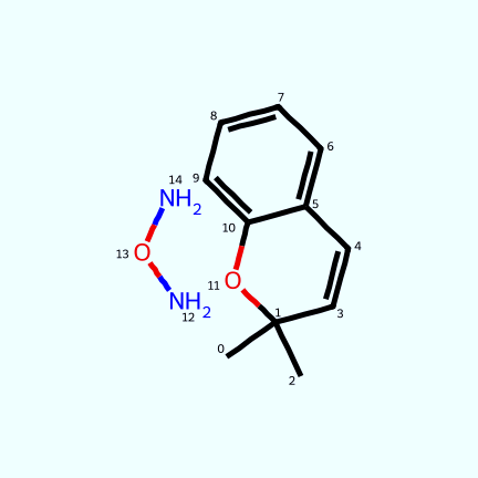 CC1(C)C=Cc2ccccc2O1.NON